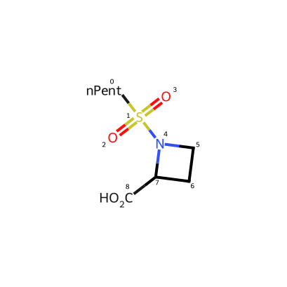 CCCCCS(=O)(=O)N1CCC1C(=O)O